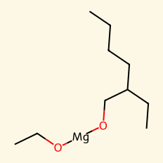 CCCCC(CC)C[O][Mg][O]CC